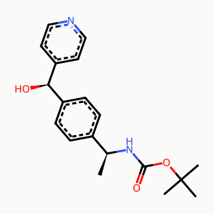 C[C@H](NC(=O)OC(C)(C)C)c1ccc([C@@H](O)c2ccncc2)cc1